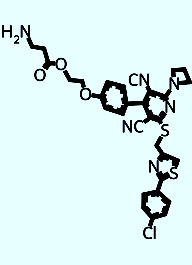 [C-]#[N+]c1c(N2CCC2)nc(SCc2csc(-c3ccc(Cl)cc3)n2)c(C#N)c1-c1ccc(OCCOC(=O)CCN)cc1